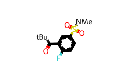 CNS(=O)(=O)c1ccc(F)c(C(=O)C(C)(C)C)c1